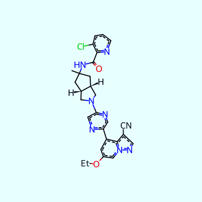 CCOc1cc(-c2cnc(N3C[C@@H]4CC(C)(NC(=O)c5ncccc5Cl)C[C@@H]4C3)cn2)c2c(C#N)cnn2c1